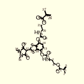 C=C(C)C(=O)OCCNC(=O)Oc1ccc(OC(=O)NCCOC(=O)C(=C)C)c2c1SC(C1C(=O)N(C)N(C)C1=O)S2